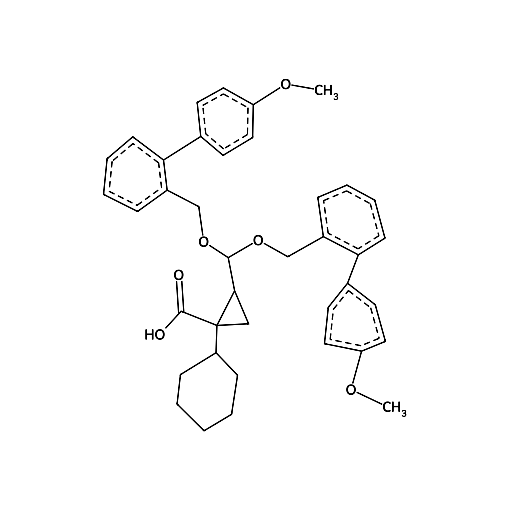 COc1ccc(-c2ccccc2COC(OCc2ccccc2-c2ccc(OC)cc2)C2CC2(C(=O)O)C2CCCCC2)cc1